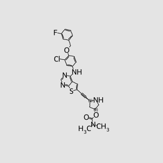 CN(C)C(=O)O[C@H]1CN[C@H](C#Cc2cc3c(Nc4ccc(OCc5cccc(F)c5)c(Cl)c4)ncnc3s2)C1